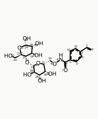 C=Cc1ccc(C(=O)NOC[C@H]2O[C@@H](O[C@H]3[C@H](O)[C@@H](O)[C@@H](O)O[C@@H]3CO)[C@H](O)[C@@H](O)[C@H]2O)cc1